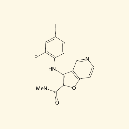 CNC(=O)c1oc2ccncc2c1Nc1ccc(I)cc1F